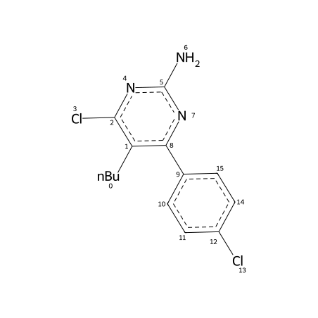 CCCCc1c(Cl)nc(N)nc1-c1ccc(Cl)cc1